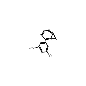 O=C(O)c1cccc(C(F)(F)F)c1.c1ccc2c(c1)C2